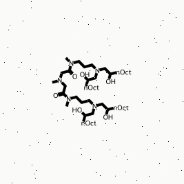 CCCCCCCCC(O)CN(CCCN(C)C(=O)CN(C)CC(=O)N(C)CCCN(CC(O)CCCCCCCC)CC(O)CCCCCCCC)CC(O)CCCCCCCC